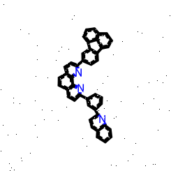 c1cc(-c2ccc3ccccc3n2)cc(-c2ccc3ccc4ccc(-c5ccc6c(c5)-c5cccc7cccc-6c57)nc4c3n2)c1